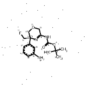 CC(C)(C)OC(=O)NC1=N[C@](CF)(c2cccc(N)c2)COC1